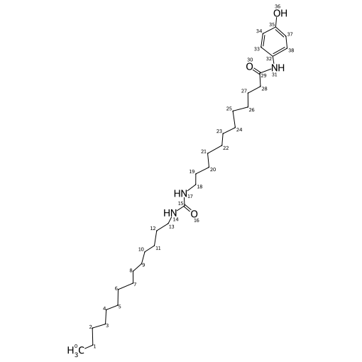 CCCCCCCCCCCCCCNC(=O)NCCCCCCCCCCCC(=O)Nc1ccc(O)cc1